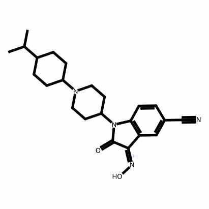 CC(C)C1CCC(N2CCC(N3C(=O)/C(=N\O)c4cc(C#N)ccc43)CC2)CC1